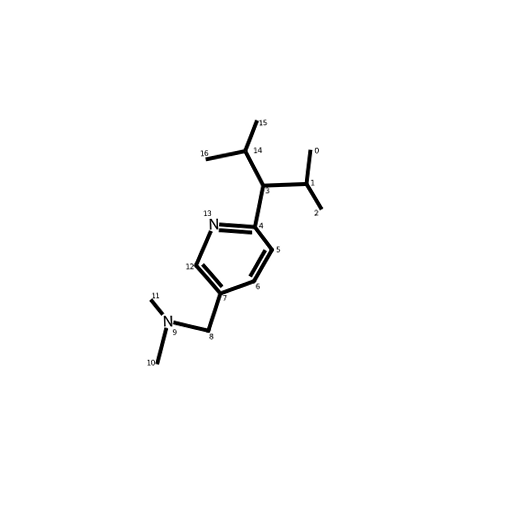 CC(C)C(c1ccc(CN(C)C)cn1)C(C)C